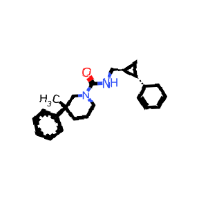 CC1(c2ccccc2)CCCN(C(=O)NC[C@H]2C[C@@H]2C2C=CC=CC2)C1